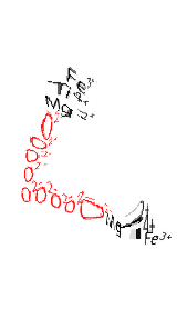 [Fe+3].[Fe+3].[Mg+2].[Mg+2].[O-2].[O-2].[O-2].[O-2].[O-2].[O-2].[O-2].[O-2].[O-2].[Ti+4].[Ti+4]